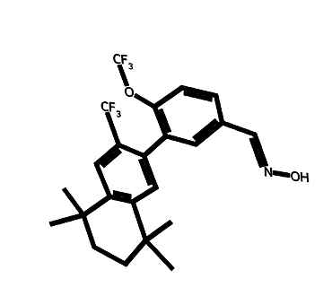 CC1(C)CCC(C)(C)c2cc(C(F)(F)F)c(-c3cc(C=NO)ccc3OC(F)(F)F)cc21